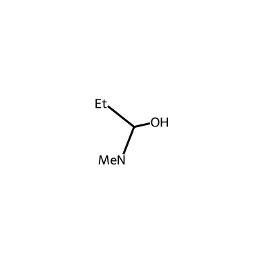 CCC(O)NC